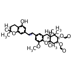 COc1cc(/C=C/c2cc(O)c3c(c2)OC(C)(C)CC3)cc2c1O[C@]1(C)C[C@@H](OC=O)[C@@H](OC=O)C(C)(C)[C@H]1C2